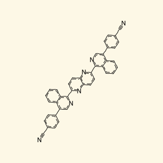 N#Cc1ccc(-c2cnc(-c3ccc4nc(-c5ncc(-c6ccc(C#N)cc6)c6ccccc56)ccc4n3)c3ccccc23)cc1